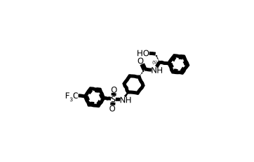 O=C(N[C@H](CO)c1ccccc1)[C@H]1CC[C@H](NS(=O)(=O)c2ccc(C(F)(F)F)cc2)CC1